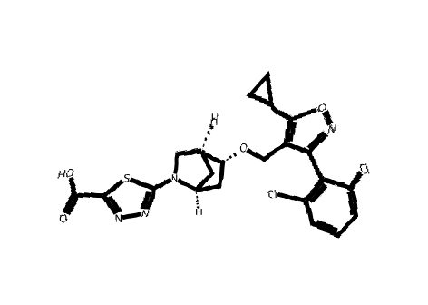 O=C(O)c1nnc(N2C[C@@H]3C[C@H]2C[C@H]3OCc2c(-c3c(Cl)cccc3Cl)noc2C2CC2)s1